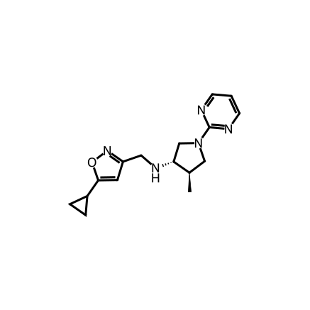 C[C@@H]1CN(c2ncccn2)C[C@H]1NCc1cc(C2CC2)on1